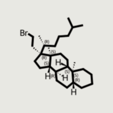 CC(C)CCC[C@@H](C)[C@]1(CCBr)CC[C@H]2[C@@H]3CC[C@H]4CCCC[C@]4(C)[C@H]3CC[C@@]21C